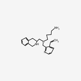 C=Cc1cccnc1CN(CCCCN)CC1Cc2ccccc2CN1